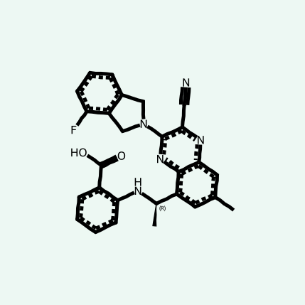 Cc1cc([C@@H](C)Nc2ccccc2C(=O)O)c2nc(N3Cc4cccc(F)c4C3)c(C#N)nc2c1